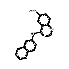 CC(=O)Nc1ccc2ncnc(Nc3ccc4ncccc4c3)c2c1